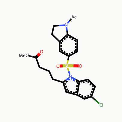 COC(=O)CCCc1cc2cc(Cl)ccc2n1S(=O)(=O)c1ccc2c(c1)CCN2C(C)=O